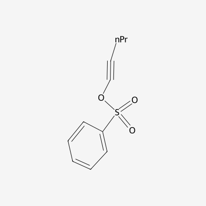 CCCC#COS(=O)(=O)c1ccccc1